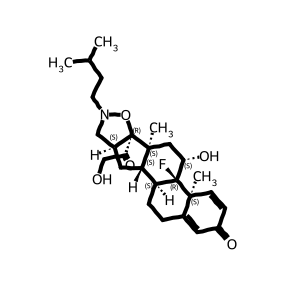 CC(C)CCN1C[C@@H]2C[C@H]3[C@@H]4CCC5=CC(=O)C=C[C@]5(C)[C@@]4(F)[C@@H](O)C[C@]3(C)[C@]2(C(=O)CO)O1